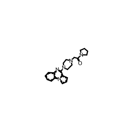 O=C(CN1CCN(c2nc3ccccc3n3cccc23)CC1)N1CCCC1